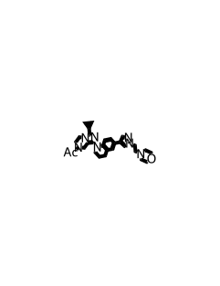 CC(=O)N1CCn2c(C3CC3)nc(N3CCCc4cc(-c5cnn(CCN6CCOCC6)c5)ccc43)c2C1